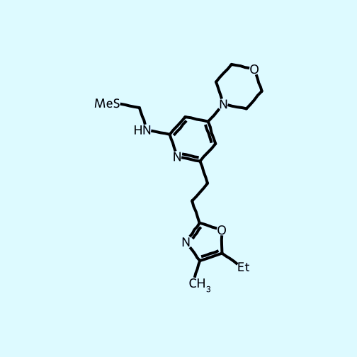 CCc1oc(CCc2cc(N3CCOCC3)cc(NCSC)n2)nc1C